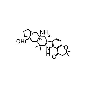 CC1(C)CC(=O)c2c(ccc3c4c([nH]c23)C(C)(C)C2C[C@]3(C=O)CCCN3C[C@]2(N)C4)O1